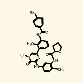 Cc1ccc(Nc2nc(-c3cccc(NC(=O)c4ccc(C(C)(C)C)cc4)c3C)cn(C)c2=O)cc1NC(=O)C1CCCO1